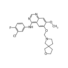 COc1cc2ncnc(Nc3ccc(F)c(Cl)c3)c2cc1OCN1CCC2(CCOC2)C1